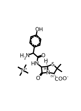 CC1(C)S[C@@H]2C(NC(=O)C(N)c3ccc(O)cc3)C(=O)N2[C@H]1C(=O)[O-].C[N+](C)(C)C